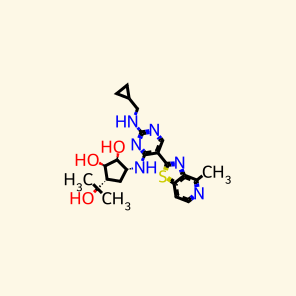 Cc1nccc2sc(-c3cnc(NCC4CC4)nc3N[C@@H]3C[C@H](C(C)(C)O)[C@@H](O)[C@H]3O)nc12